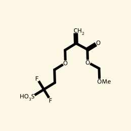 C=C(COCCC(F)(F)S(=O)(=O)O)C(=O)OCOC